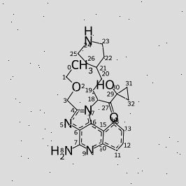 CCOCc1nc2c(N)nc3ccccc3c2n1C([CH]CC1CCNCC1)C(=O)C1(O)CC1